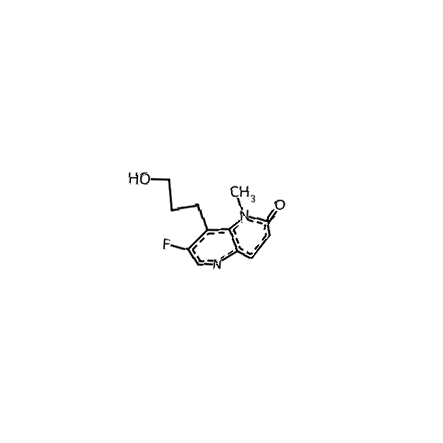 Cn1c(=O)ccc2ncc(F)c(CCCO)c21